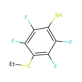 CCSc1c(F)c(F)c(S)c(F)c1F